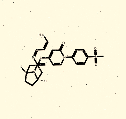 C=C(/N=C\C=C/N)N1[C@@H]2CC[C@@H]1CC(Oc1ccn(-c3ccc(S(C)(=O)=O)cc3)c(=O)c1)C2